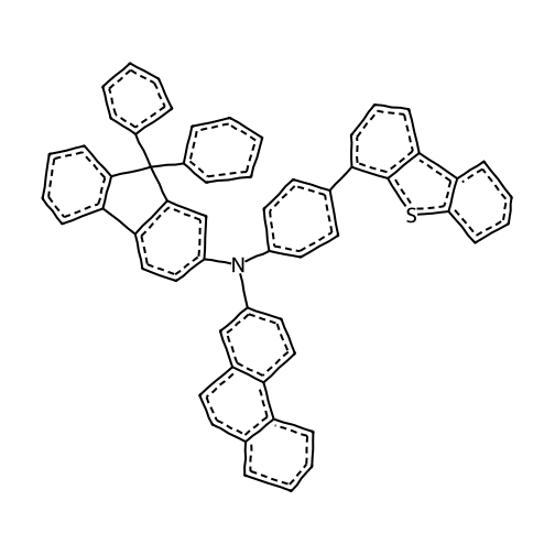 c1ccc(C2(c3ccccc3)c3ccccc3-c3ccc(N(c4ccc(-c5cccc6c5sc5ccccc56)cc4)c4ccc5c(ccc6ccccc65)c4)cc32)cc1